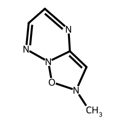 CN1C=C2N=CC=NN2O1